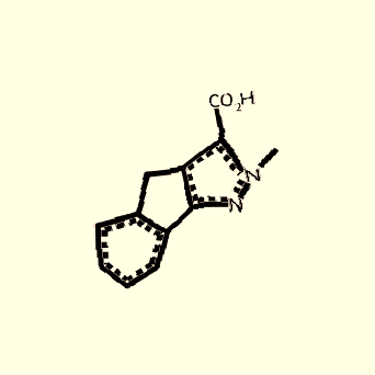 Cn1nc2c(c1C(=O)O)Cc1ccccc1-2